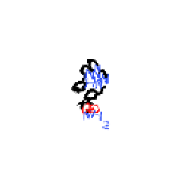 CC(Cc1cccc(C(C)(OC(N)=O)C(C)(C)C)c1)Nc1nccc(N2CCCc3ccc(-c4ccccc4)nc32)n1